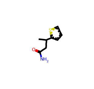 CC(CC(N)=O)c1cccs1